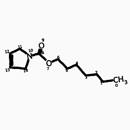 CCCCCCCOC(=O)N1CC=CC1